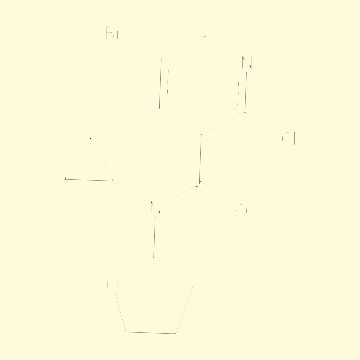 O=C(c1cc(Br)cnc1Cl)N(C1CC1)C1CCCO1